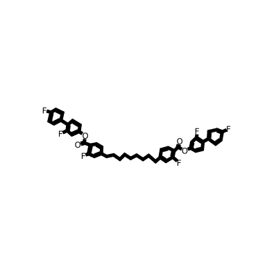 O=C(Oc1ccc(-c2ccc(F)cc2)c(F)c1)c1ccc(CCCCCCCCCc2ccc(C(=O)Oc3ccc(-c4ccc(F)cc4)c(F)c3)c(F)c2)cc1F